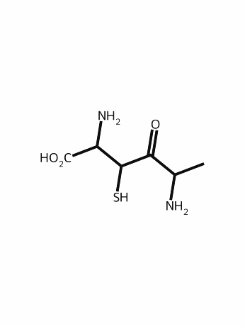 CC(N)C(=O)C(S)C(N)C(=O)O